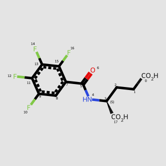 O=C(O)CC[C@H](NC(=O)c1cc(F)c(F)c(F)c1F)C(=O)O